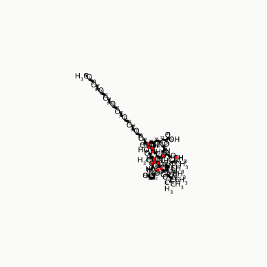 CC[C@H](C)[C@H](NC(=O)[C@H](C(C)C)N(C)C)C(=O)N(C)[C@H](C[C@@H](OC)c1nc(C(=O)N[C@H](CCC(=O)O)Cc2ccc(O)c(NC(=O)[C@H](C)NC(=O)[C@@H](NC(=O)[C@H](CCCCNC(=O)COCCOCCOCCOCCOCCOCCOCCOCCOCCOC)NC(=O)CCCN3C(=O)C=CC3=O)C(C)C)c2)cs1)C(C)C